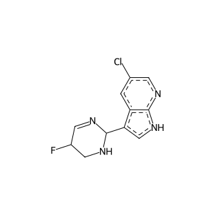 FC1C=NC(c2c[nH]c3ncc(Cl)cc23)NC1